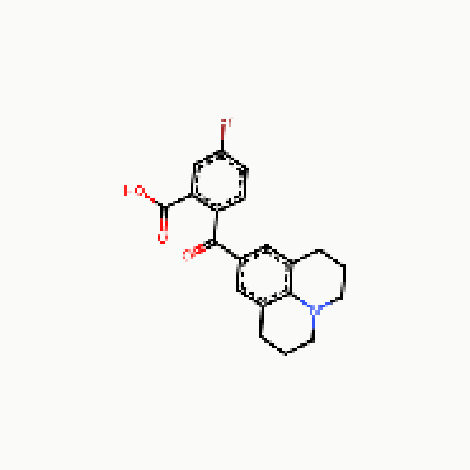 O=C(O)c1cc(Br)ccc1C(=O)c1cc2c3c(c1)CCCN3CCC2